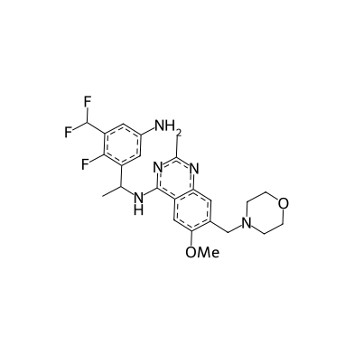 COc1cc2c(NC(C)c3cc(N)cc(C(F)F)c3F)nc(C)nc2cc1CN1CCOCC1